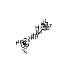 CCCOP(=O)(O)OCCNCCNCCC[Si](OC)(OC)OC